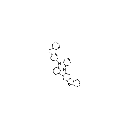 c1ccc2c(c1)N(c1ccc3oc4ccccc4c3c1)c1cccc3c4cc5sc6ccccc6c5cc4n-2c13